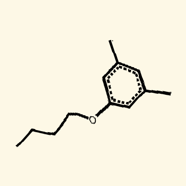 [CH2]c1cc(C)cc(OCCCC)c1